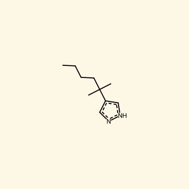 CCCCC(C)(C)c1cn[nH]c1